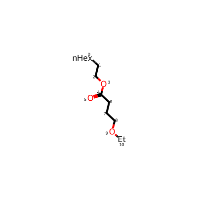 CCCCCCCCOC(=O)CCCOCC